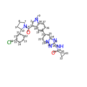 Cn1cc(C(=O)N2CCCC2c2cccc(Cl)c2)c2cc(-c3ccn4nc(NC(=O)C5CC5)nc4c3)ccc21